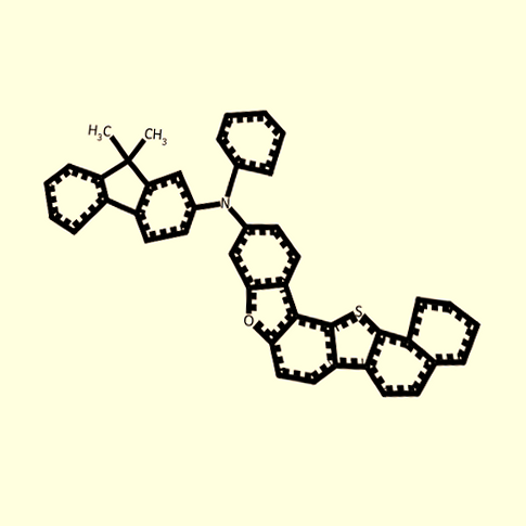 CC1(C)c2ccccc2-c2ccc(N(c3ccccc3)c3ccc4c(c3)oc3ccc5c6ccc7ccccc7c6sc5c34)cc21